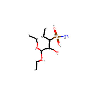 CCOC(OCC)C(O)C(CC)S(N)(=O)=O